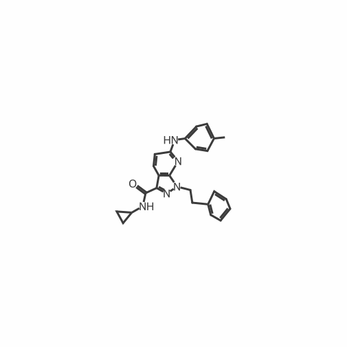 Cc1ccc(Nc2ccc3c(C(=O)NC4CC4)nn(CCc4ccccc4)c3n2)cc1